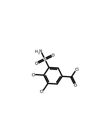 NS(=O)(=O)c1cc(C(=O)Cl)cc(Cl)c1Cl